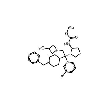 CC(C)(C)OC(=O)N[C@H]1CCC[C@@H]1C(CN1CC(O)C1)(c1cccc(F)c1)C1CCN(Cc2ccccc2)CC1